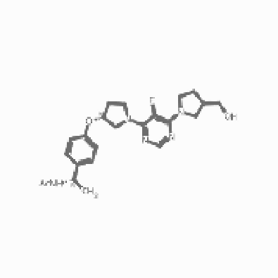 CC(=O)N[C@@H](C)c1ccc(O[C@@H]2CCN(c3ncnc(N4CCC(CO)C4)c3F)C2)cc1